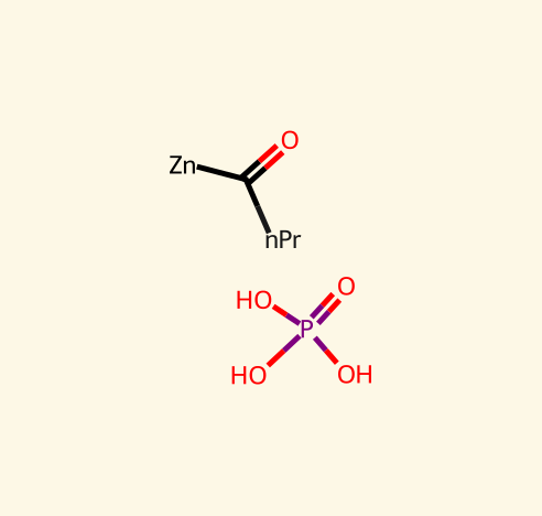 CCC[C](=O)[Zn].O=P(O)(O)O